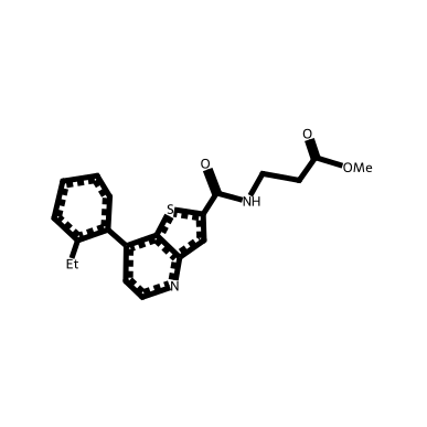 CCc1ccccc1-c1ccnc2cc(C(=O)NCCC(=O)OC)sc12